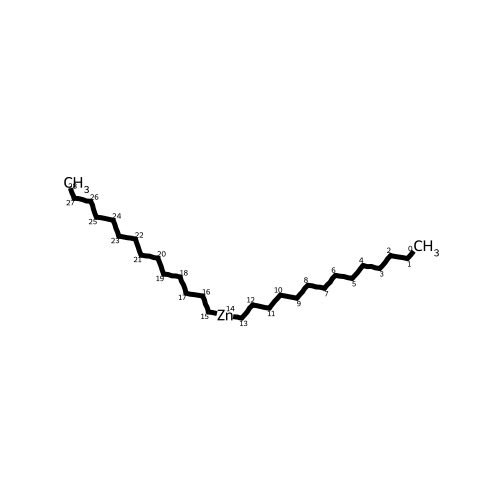 CCCCCCCCCCCCC[CH2][Zn][CH2]CCCCCCCCCCCCC